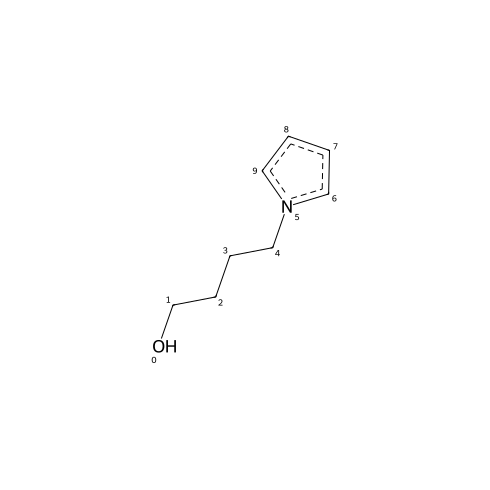 OCCCCn1cccc1